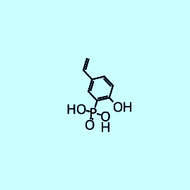 C=Cc1ccc(O)c(P(=O)(O)O)c1